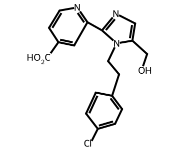 O=C(O)c1ccnc(-c2ncc(CO)n2CCc2ccc(Cl)cc2)c1